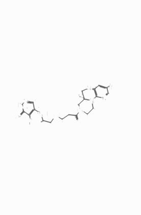 CC(COCCC(=O)N1CCN2c3ncc(C(F)(F)F)cc3NC[C@H]2C1)Nc1cn[nH]c(=O)c1C(F)(F)F